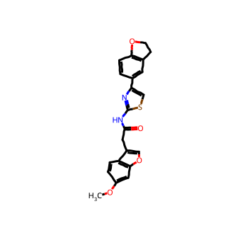 COc1ccc2c(CC(=O)Nc3nc(-c4ccc5c(c4)CCO5)cs3)coc2c1